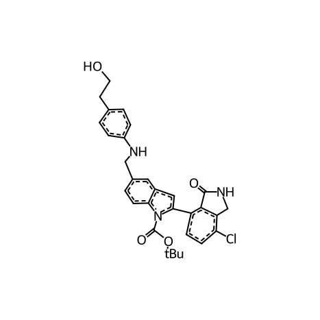 CC(C)(C)OC(=O)n1c(-c2ccc(Cl)c3c2C(=O)NC3)cc2cc(CNc3ccc(CCO)cc3)ccc21